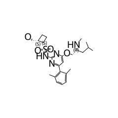 CN[C@@H](COc1cc(-c2c(C)cccc2C)nc(NS(=O)(=O)[C@H]2CC[C@H]2C=O)n1)CC(C)C